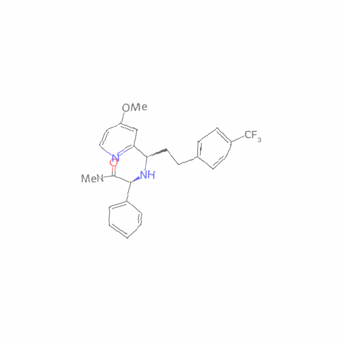 CNC(=O)[C@@H](N[C@H](CCc1ccc(C(F)(F)F)cc1)c1cc(OC)ccn1)c1ccccc1